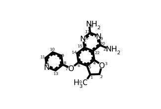 CC1COc2c1c(Oc1cccnc1)cc1nc(N)nc(N)c21